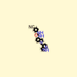 N#Cc1ccc(NC(=O)Nc2cccc3c2CCN3Cc2ccnc3[nH]ccc23)cc1